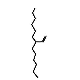 CCCCCCC(C=O)CCCCCC